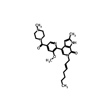 CCCC/C=C/Cn1cc(-c2ncc(C(=O)N3CCN(C)CC3)cc2OC)c2cc(C)[nH]c2c1=O